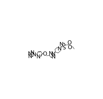 CCOC(=O)c1cnc(N2CCC(n3ncc(COc4ccc(-n5cnnn5)nc4)n3)CC2)s1